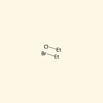 CCBr.CCCl